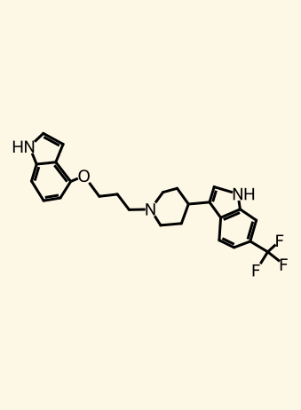 FC(F)(F)c1ccc2c(C3CCN(CCCOc4cccc5[nH]ccc45)CC3)c[nH]c2c1